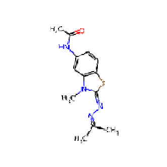 CC(=O)Nc1ccc2sc(=NN=C(C)C)n(C)c2c1